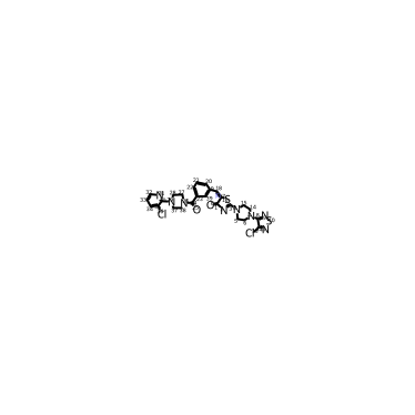 O=C1N=C(N2CCN(c3nsnc3Cl)CC2)S/C1=C/c1cccc(C(=O)N2CCN(c3ncccc3Cl)CC2)c1